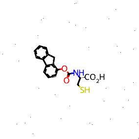 O=C(N[C@@H](CS)C(=O)O)Oc1cccc2c1Cc1ccccc1-2